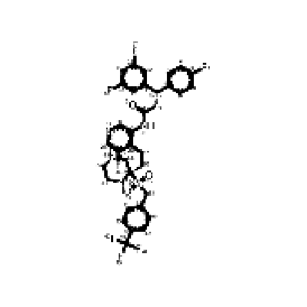 O=C(C[C@@H](c1ccc(F)cc1)c1cc(F)cc(F)c1)Nc1cncc(F)c1CC[C@]1(S(=O)(=O)Cc2ccc(C(F)(F)F)cc2)CNCCN1